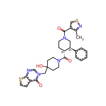 Cc1nscc1C(=O)N1CC[C@@H](C(=O)N2CCC(O)(Cn3cnc4sccc4c3=O)CC2)[C@H](c2ccccc2)C1